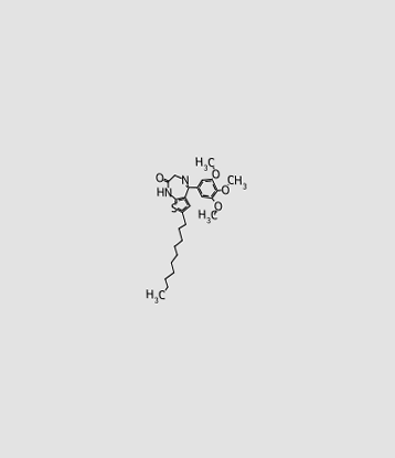 CCCCCCCCCCc1cc2c(s1)NC(=O)CN=C2c1cc(OC)c(OC)c(OC)c1